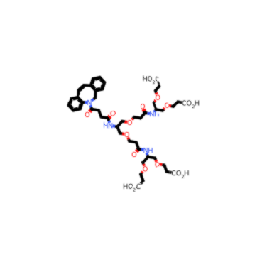 O=C(O)CCOCC(COCCC(=O)O)NC(=O)CCOCC(COCCC(=O)NC(COCCC(=O)O)COCCC(=O)O)NC(=O)CCC(=O)N1Cc2ccccc2/C=C\c2ccccc21